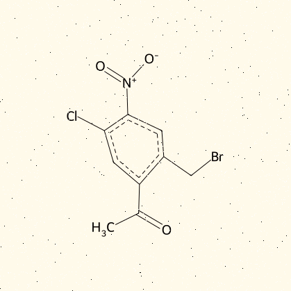 CC(=O)c1cc(Cl)c([N+](=O)[O-])cc1CBr